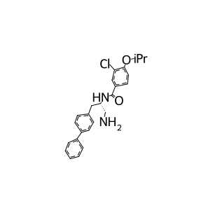 CC(C)Oc1ccc(C(=O)N[C@H](CN)Cc2ccc(-c3ccccc3)cc2)cc1Cl